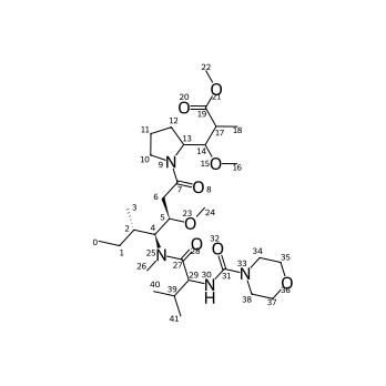 CC[C@H](C)[C@@H]([C@@H](CC(=O)N1CCCC1C(OC)C(C)C(=O)OC)OC)N(C)C(=O)C(NC(=O)N1CCOCC1)C(C)C